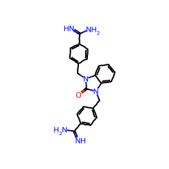 N=C(N)c1ccc(Cn2c(=O)n(Cc3ccc(C(=N)N)cc3)c3ccccc32)cc1